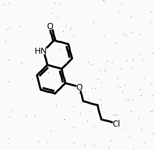 O=c1ccc2c(OCCCCl)cccc2[nH]1